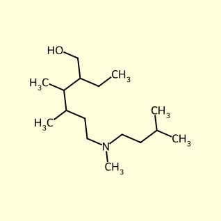 CCC(CO)C(C)C(C)CCN(C)CCC(C)C